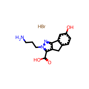 Br.NCCCn1nc2c(c1C(=O)O)Cc1ccc(O)cc1-2